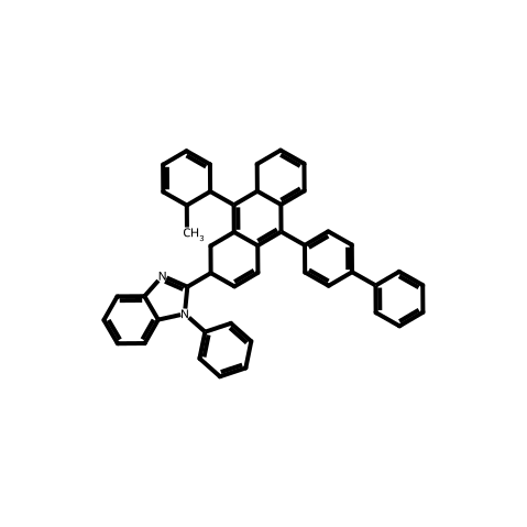 CC1C=CC=CC1C1=C2CC(c3nc4ccccc4n3-c3ccccc3)C=CC2=C(c2ccc(-c3ccccc3)cc2)C2=CC=CCC21